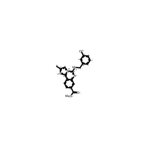 COC(=O)c1ccc2c(c1)nc(NCc1cccc(Cl)c1)n1cc(C)nc21